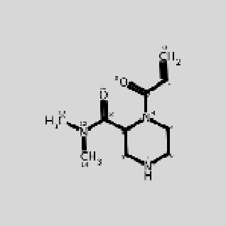 C=CC(=O)N1CCNCC1C(=O)N(C)C